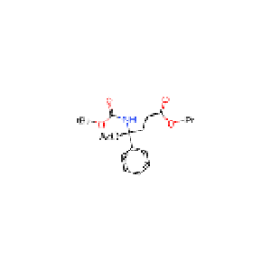 CC(=O)OC(CCC(=O)OC(C)C)(NC(=O)OC(C)(C)C)c1ccccc1